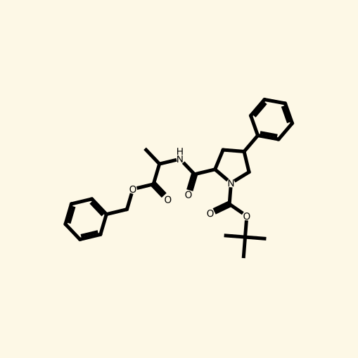 CC(NC(=O)C1CC(c2ccccc2)CN1C(=O)OC(C)(C)C)C(=O)OCc1ccccc1